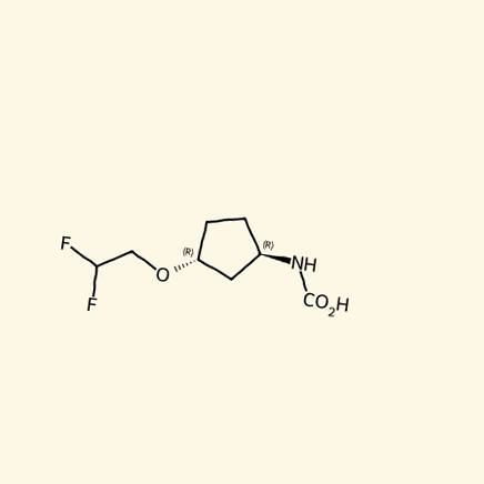 O=C(O)N[C@@H]1CC[C@@H](OCC(F)F)C1